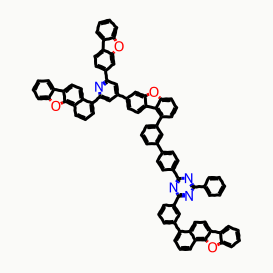 c1ccc(-c2nc(-c3ccc(-c4cccc(-c5cccc6oc7cc(-c8cc(-c9ccc%10c(c9)oc9ccccc9%10)nc(-c9cccc%10c9ccc9c%11ccccc%11oc%109)c8)ccc7c56)c4)cc3)nc(-c3cccc(-c4cccc5c4ccc4c6ccccc6oc54)c3)n2)cc1